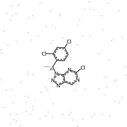 C[C@H](c1ccc(Cl)cc1Cl)n1nnc2cnc(Cl)nc21